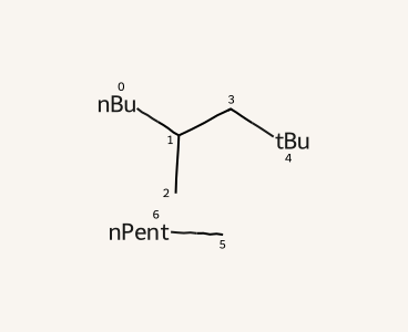 CCCCC(C)CC(C)(C)C.CCCCCC